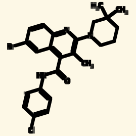 Cc1c(N2CCCC(C)(C)C2)nc2ccc(Br)cc2c1C(=O)Nc1[c]cc(Cl)cc1